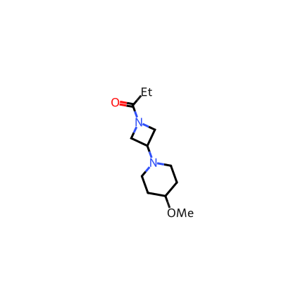 CCC(=O)N1CC(N2CCC(OC)CC2)C1